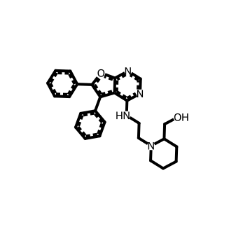 OCC1CCCCN1CCNc1ncnc2oc(-c3ccccc3)c(-c3ccccc3)c12